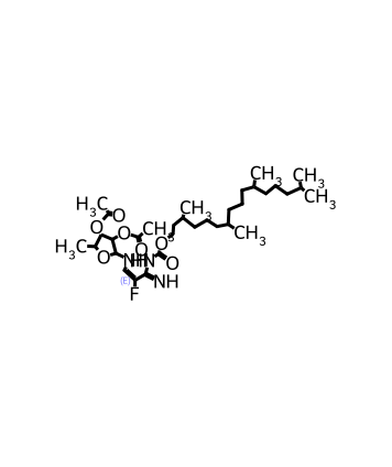 CC(=O)OC1C(C)OC(N/C=C(/F)C(=N)NC(=O)OCCC(C)CCCC(C)CCCC(C)CCCC(C)C)C1OC(C)=O